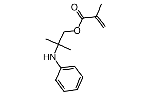 C=C(C)C(=O)OCC(C)(C)Nc1ccccc1